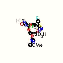 COc1ccccc1-c1nccc(COc2ccc3cc2C[C@H](C(=O)O)Oc2ncnc4sc(-c5ccc(F)cc5)c(c24)-c2ccc(c(Cl)c2C)O[C@H](CN2CCN(C)C(=O)C2)CO3)n1